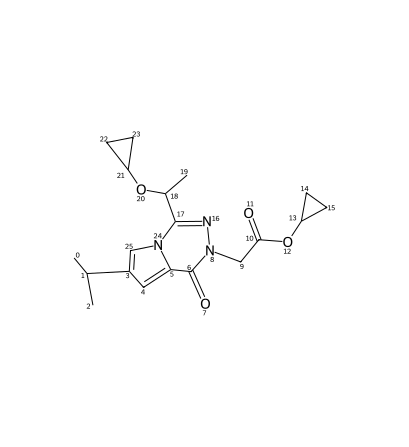 CC(C)c1cc2c(=O)n(CC(=O)OC3CC3)nc(C(C)OC3CC3)n2c1